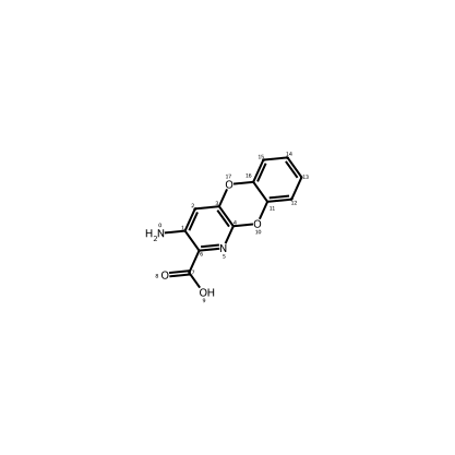 Nc1cc2c(nc1C(=O)O)Oc1ccccc1O2